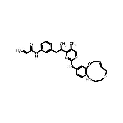 C=CC(=O)Nc1cccc(CC(C)c2nc(Nc3ccc4c(c3)OC/C=C/COCCN4)ncc2C(F)(F)F)c1